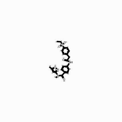 CCS(=O)(=O)c1ccc(CC(=O)Nc2ccc(C(=O)N(C)c3cc(C)on3)cc2)cc1